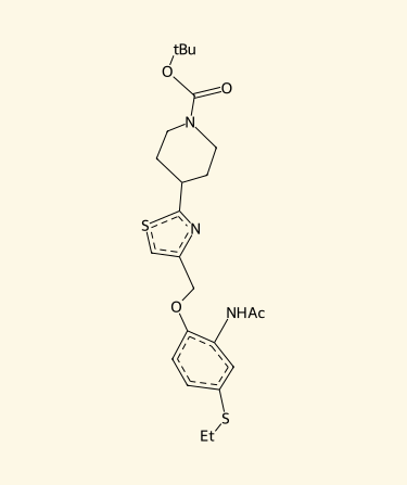 CCSc1ccc(OCc2csc(C3CCN(C(=O)OC(C)(C)C)CC3)n2)c(NC(C)=O)c1